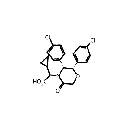 O=C(O)C(C1CC1)N1C(=O)CO[C@@H](c2ccc(Cl)cc2)[C@H]1c1ccc(Cl)cc1